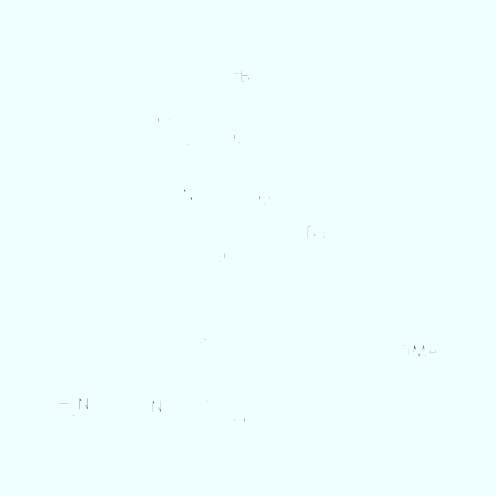 COc1ccc(OC(=O)/N=C(/N)c2ccc(CN(C(=O)OC(C)(C)C)C(=O)OC(C)(C)C)cc2)cc1